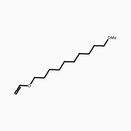 C=COCCCCCCCCCCOC